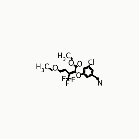 CCOC=CC(=C(Oc1cc(Cl)cc(C#N)c1)C(=O)OCC)C(F)(F)F